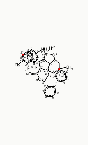 CC1(C)CCC23C(C1)O[C@@H]1Nc4cc(Cl)ncc4[C@]12[C@@H](c1cccc(Cl)c1F)[C@@H]1C(=O)O[C@@H](c2ccccc2)[C@@H](c2ccccc2)N13